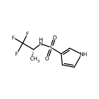 C[C@@H](NS(=O)(=O)c1cc[nH]c1)C(F)(F)F